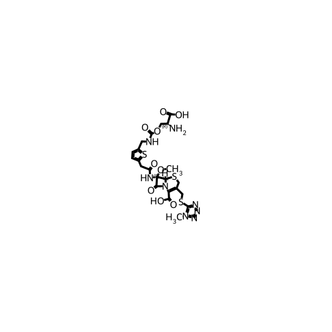 CO[C@@]1(NC(=O)Cc2ccc(CNC(=O)OC[C@@H](N)C(=O)O)s2)C(=O)N2C(C(=O)O)=C(CSc3nnnn3C)CS[C@H]21